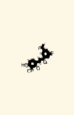 C=C(F)c1cc(F)cc(C(=O)/C=C/c2ccc(O)c(Cl)c2Cl)c1